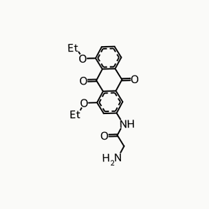 CCOc1cccc2c1C(=O)c1c(OCC)cc(NC(=O)CN)cc1C2=O